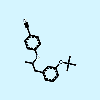 CC(Cc1cccc(OC(C)(C)C)c1)Oc1ccc(C#N)cc1